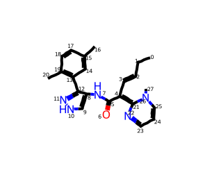 CC/C=C/C(C(=O)Nc1c[nH]nc1-c1cc(C)ccc1C)=C1/N=CC=CN1C